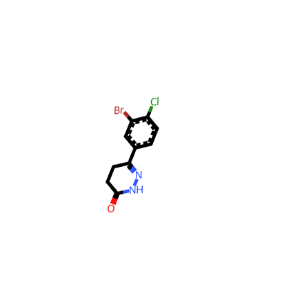 O=C1CCC(c2ccc(Cl)c(Br)c2)=NN1